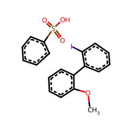 COc1ccccc1-c1ccccc1I.O=S(=O)(O)c1ccccc1